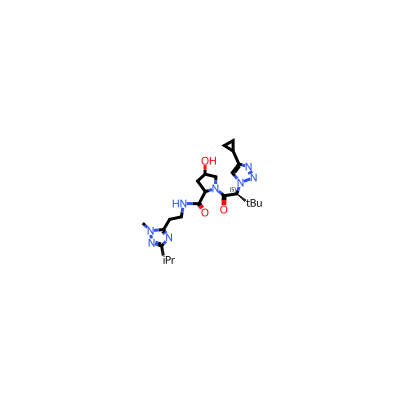 CC(C)c1nc(CCNC(=O)C2CC(O)CN2C(=O)[C@@H](n2cc(C3CC3)nn2)C(C)(C)C)n(C)n1